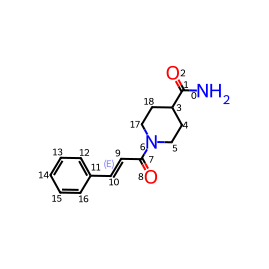 NC(=O)C1CCN(C(=O)/C=C/c2ccccc2)CC1